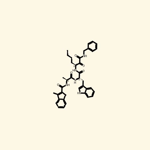 CCCC[C@H](NC(=O)[C@H](Cc1c[nH]c2ccccc12)NC(=O)[C@H](C)NC(=O)C1=C(C)c2ccccc2C1)C(=O)C(=O)NCc1ccccc1